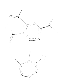 O=C(O)c1ccc(C(=O)O)c(C(=O)O)c1.Oc1cccc(O)c1O